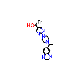 CC(C)C(O)c1cnc(N2CCN(C(C)c3ccc4nccnc4c3)CC2)nc1